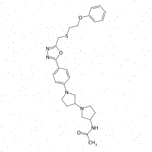 CC(=O)NC1CCN(C2CCN(c3ccc(-c4nnc(CSCCOc5ccccc5)o4)cc3)C2)C1